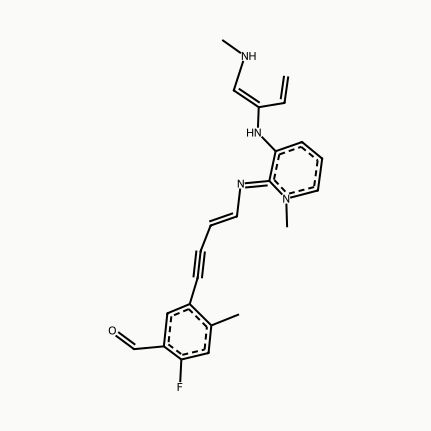 C=C/C(=C\NC)Nc1cccn(C)/c1=N\C=C\C#Cc1cc(C=O)c(F)cc1C